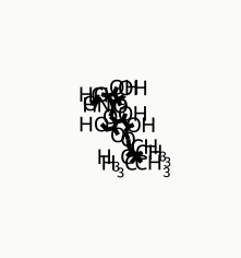 CC(=O)NC12C(OC3C(CO)OC(OCC(C)(C)C(C)(C)C)C(O)C3O)OC1(CO)C(O)C2O